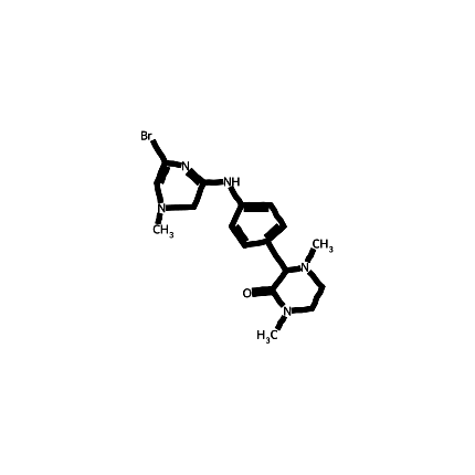 CN1C=C(Br)N=C(Nc2ccc(C3C(=O)N(C)CCN3C)cc2)C1